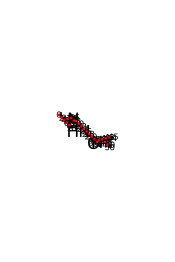 CCCCCC(CCCCC)CCCN(C)C(=O)CCCCCCCNCCCCCCCC(=O)N(C)CCCC(CCCCC)CCCCC